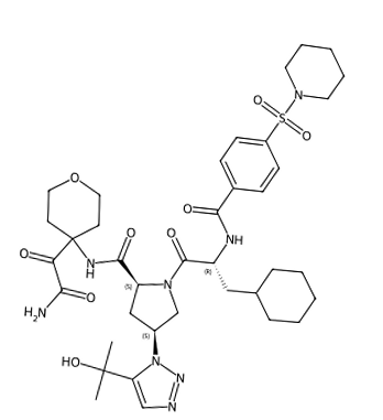 CC(C)(O)c1cnnn1[C@H]1C[C@@H](C(=O)NC2(C(=O)C(N)=O)CCOCC2)N(C(=O)[C@@H](CC2CCCCC2)NC(=O)c2ccc(S(=O)(=O)N3CCCCC3)cc2)C1